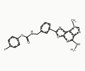 CNc1nc2oc(-c3cccc(CNC(=O)Oc4ccc(F)cc4)c3)nc2c2c1ncn2C